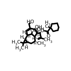 CC1=C[C@]23C(O)[C@@H](C=C(CO)[C@@H](O)[C@]2(O)[C@H]1OC(=O)C1(C)CCCCC1)[C@H]1[C@@H](C[C@H]3C)C1(C)C